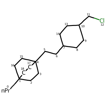 CCCC12CCC(CCC3CCC(CCl)CC3)(CC1)CC2